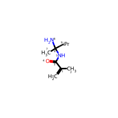 C=C(C)C(=O)NC(C)(N)C(C)C